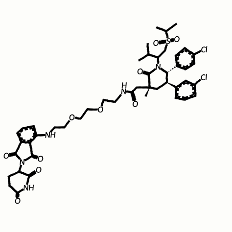 CC(C)C(CS(=O)(=O)C(C)C)N1C(=O)[C@@](C)(CC(=O)NCCOCCOCCNc2cccc3c2C(=O)N(C2CCC(=O)NC2=O)C3=O)C[C@H](c2cccc(Cl)c2)[C@H]1c1ccc(Cl)cc1